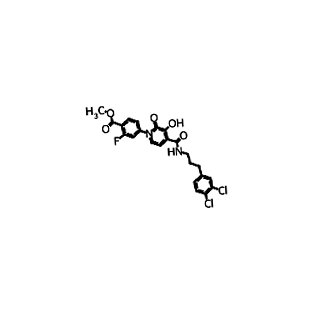 COC(=O)c1ccc(-n2ccc(C(=O)NCCCc3ccc(Cl)c(Cl)c3)c(O)c2=O)cc1F